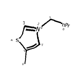 CCCC[n+]1csc(C)c1